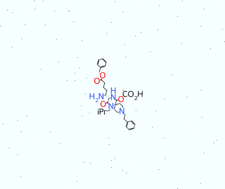 CC(=O)O.CC(C)CN1C(=O)[C@H](C(N)CCCC(=O)OCc2ccccc2)NC(=O)C12CCN(CCc1ccccc1)CC2